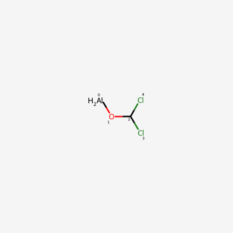 [AlH2][O]C(Cl)Cl